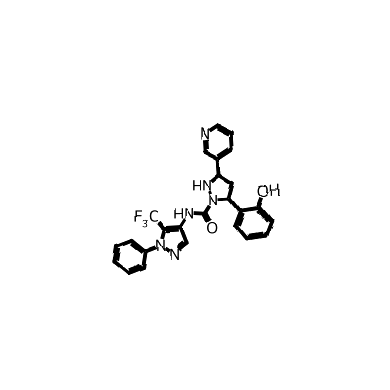 O=C(Nc1cnn(-c2ccccc2)c1C(F)(F)F)N1NC(c2cccnc2)CC1c1ccccc1O